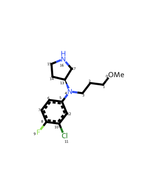 COCCCN(c1ccc(F)c(Cl)c1)[C@H]1CCNC1